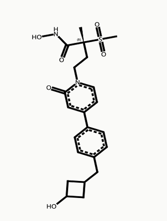 C[C@@](CCn1ccc(-c2ccc(CC3CC(O)C3)cc2)cc1=O)(C(=O)NO)S(C)(=O)=O